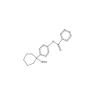 CCCCCC1(c2ccc(OC(=O)c3cccnc3)cc2)CCCCC1